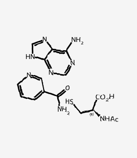 CC(=O)N[C@@H](CS)C(=O)O.NC(=O)c1cccnc1.Nc1ncnc2[nH]cnc12